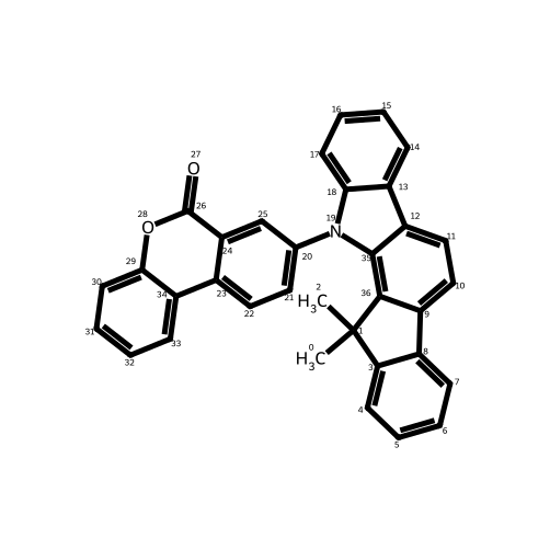 CC1(C)c2ccccc2-c2ccc3c4ccccc4n(-c4ccc5c(c4)c(=O)oc4ccccc45)c3c21